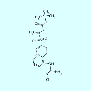 CN(CC(=O)OC(C)(C)C)S(=O)(=O)c1ccc2c(NC(N)=NCl)cncc2c1